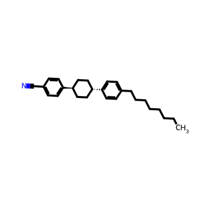 CCCCCCCCc1ccc([C@H]2CC[C@H](c3ccc(C#N)cc3)CC2)cc1